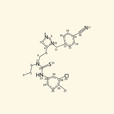 CCCN(CCc1cncn1Cc1ccc(C#N)cc1)C(=S)Nc1ccc(C)c(Cl)c1